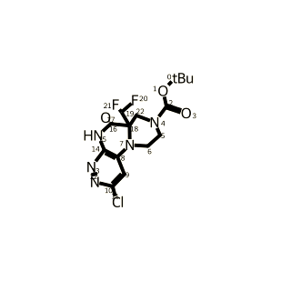 CC(C)(C)OC(=O)N1CCN2c3cc(Cl)nnc3NC(=O)C2(C(F)F)C1